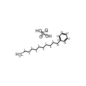 CCCCCCCCCCCc1ccccc1.O=S(=O)(O)O